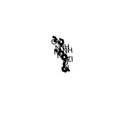 C=CC(=O)N1CCCC(Nc2ncnc(N)c2C(=N)c2ccc(OCc3cccc(C)n3)c(Cl)c2)C1